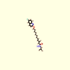 CC(/C=C/CCCCCCCOc1ccc2cc(F)ccc2n1)=C\C(=O)NCC(C)C